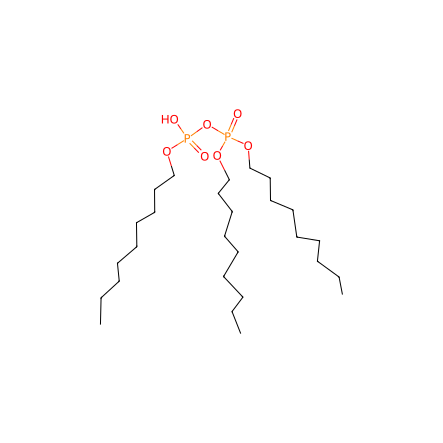 CCCCCCCCCOP(=O)(O)OP(=O)(OCCCCCCCCC)OCCCCCCCCC